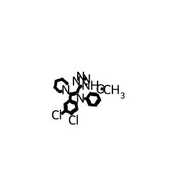 COc1cccc(-n2c(-c3nnn[nH]3)c(N3CCCCC3)c3cc(Cl)c(Cl)cc32)c1